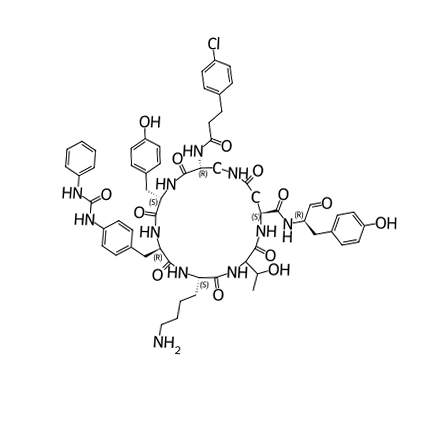 CC(O)C1NC(=O)[C@H](CCCCN)NC(=O)[C@@H](Cc2ccc(NC(=O)Nc3ccccc3)cc2)NC(=O)[C@H](Cc2ccc(O)cc2)NC(=O)[C@H](NC(=O)CCc2ccc(Cl)cc2)CNC(=O)C[C@@H](C(=O)N[C@@H](C=O)Cc2ccc(O)cc2)NC1=O